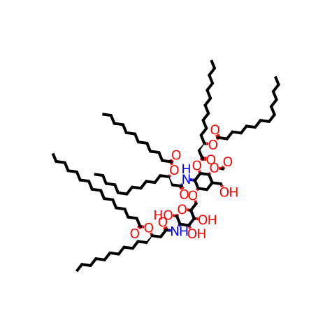 CCCCCCCCCCCCCCCC(=O)O[C@H](CCCCCCCCCCC)CC(=O)NC1C(O)OC(COC2CC(CO)C(OC=O)C(OC(=O)C[C@@H](CCCCCCCCCCC)OC(=O)CCCCCCCCCCCCC)C2NC(=O)C[C@@H](CCCCCCCCCCC)OC(=O)CCCCCCCCCCC)C(O)C1O